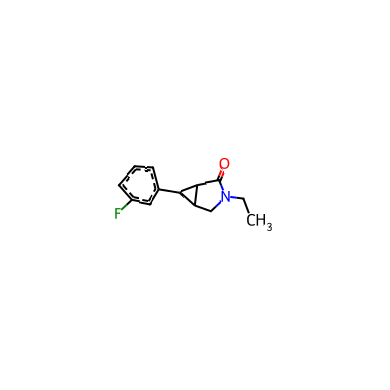 CCN1CC2C(C1=O)C2c1cccc(F)c1